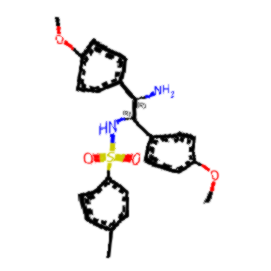 COc1ccc([C@@H](N)[C@H](NS(=O)(=O)c2ccc(C)cc2)c2ccc(OC)cc2)cc1